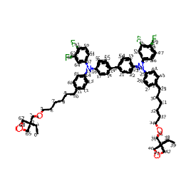 CCC1(COCCCCCCc2ccc(N(c3ccc(-c4ccc(N(c5ccc(CCCCCCOCC6(CC)COC6)cc5)c5ccc(F)c(F)c5)cc4)cc3)c3ccc(F)c(F)c3)cc2)COC1